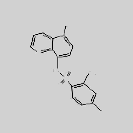 Cc1ccc(S(=O)(=O)Nc2ccc(Cl)c3cccnc23)c(N)c1